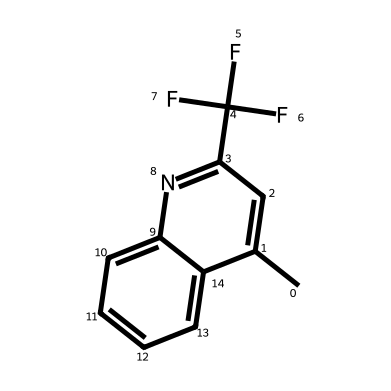 Cc1cc(C(F)(F)F)nc2ccccc12